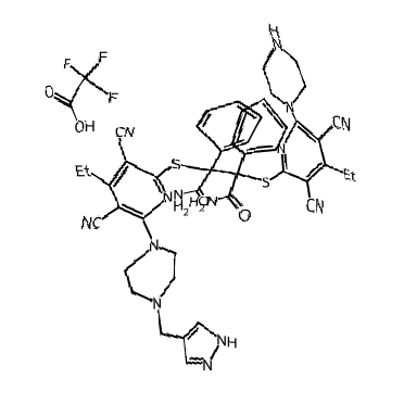 CCc1c(C#N)c(SC(C(N)=O)(c2ccccc2)C(Sc2nc(N3CCN(Cc4cn[nH]c4)CC3)c(C#N)c(CC)c2C#N)(C(N)=O)c2ccccc2)nc(N2CCNCC2)c1C#N.O=C(O)C(F)(F)F